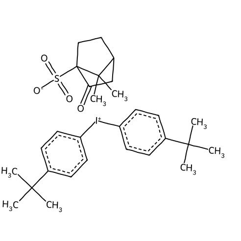 CC(C)(C)c1ccc([I+]c2ccc(C(C)(C)C)cc2)cc1.CC1(C)C2CCC1(S(=O)(=O)[O-])C(=O)C2